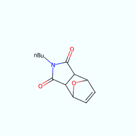 CCCCN1C(=O)C2C3C=CC(O3)C2C1=O